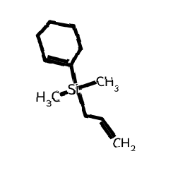 C=CC[Si](C)(C)C1=CCCCC1